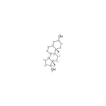 C[C@]12CCC(O)CC1CCC1C2CC[C@]2(C)C(O)CCC12